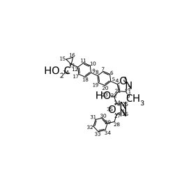 Cc1noc(-c2ccc(-c3ccc(C4(C(=O)O)CC4)cc3)cc2)c1C(O)c1nnc(Cc2ccccc2)o1